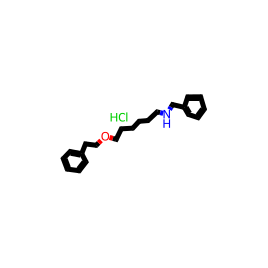 Cl.c1ccc(CCOCCCCCCNCc2ccccc2)cc1